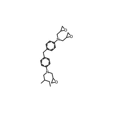 CCC(C)CN(CC1CO1)c1ccc(Cc2ccc(N(CC3CO3)CC3CO3)cc2)cc1